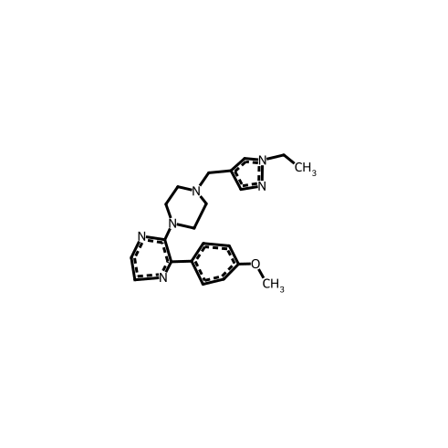 CCn1cc(CN2CCN(c3nccnc3-c3ccc(OC)cc3)CC2)cn1